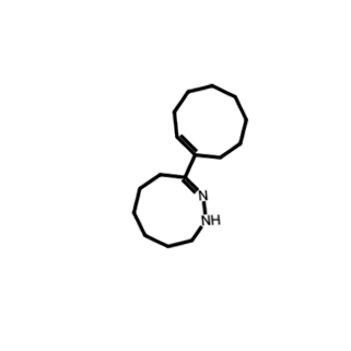 C1=C(C2=NNCCCCCC2)CCCCCCC1